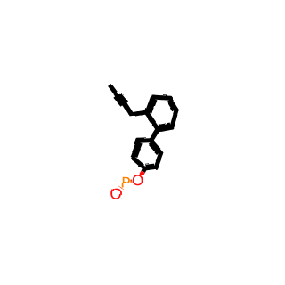 CC#CCc1ccccc1-c1ccc(OP=O)cc1